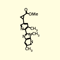 COC(=O)C1CC1c1cnc(-c2nc3cc(C)cnc3n2C)c(C)c1